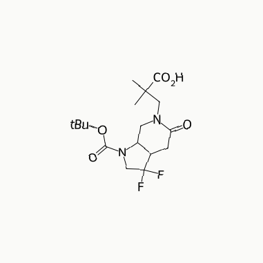 CC(C)(C)OC(=O)N1CC(F)(F)C2CC(=O)N(CC(C)(C)C(=O)O)CC21